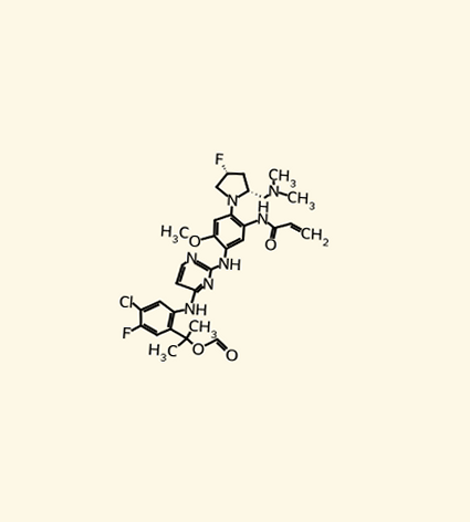 C=CC(=O)Nc1cc(Nc2nccc(Nc3cc(Cl)c(F)cc3C(C)(C)OC=O)n2)c(OC)cc1N1C[C@H](F)C[C@@H]1CN(C)C